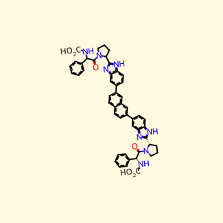 O=C(O)NC(C(=O)N1CCCC1c1nc2cc(-c3ccc4ccc(-c5ccc6[nH]c([C@@H]7CCCN7C(=O)[C@H](NC(=O)O)c7ccccc7)nc6c5)cc4c3)ccc2[nH]1)c1ccccc1